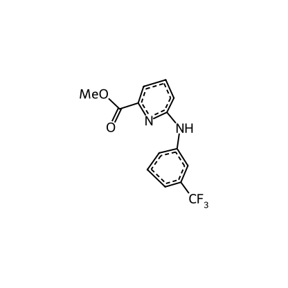 COC(=O)c1cccc(Nc2cccc(C(F)(F)F)c2)n1